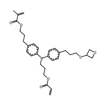 C=CC(=O)OCCCN(c1ccc(CCCOC(=O)C(=C)C)cc1)c1ccc(CCCOC2COC2)cc1